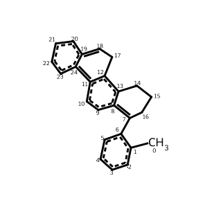 Cc1[c]cccc1C1=c2ccc3c(c2CCC1)CC=c1ccccc1=3